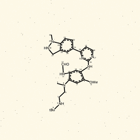 COc1cc(N(C)CCNC(C)(C)C)c(NC=O)cc1Nc1nccc(-c2ccc3c(c2)CNN3C)n1